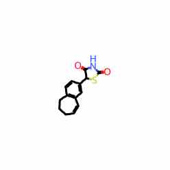 O=C1NC(=O)C(c2ccc3c(c2)C=CCCC3)S1